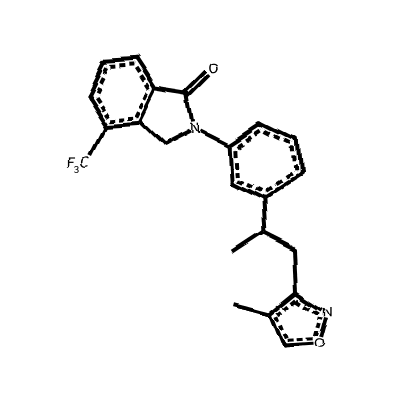 Cc1conc1CC(C)c1cccc(N2Cc3c(cccc3C(F)(F)F)C2=O)c1